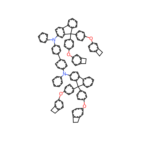 c1ccc(N(c2ccc(-c3ccc(N(c4ccccc4)c4ccc5c(c4)C(c4ccc(Oc6ccc7c(c6)CC7)cc4)(c4ccc(Oc6ccc7c(c6)CC7)cc4)c4ccccc4-5)cc3)cc2)c2ccc3c(c2)C(c2ccc(Oc4ccc5c(c4)CC5)cc2)(c2ccc(Oc4ccc5c(c4)CC5)cc2)c2ccccc2-3)cc1